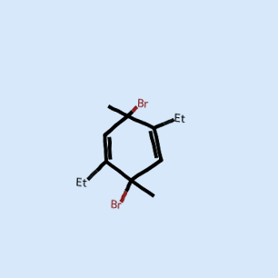 CCC1=CC(C)(Br)C(CC)=CC1(C)Br